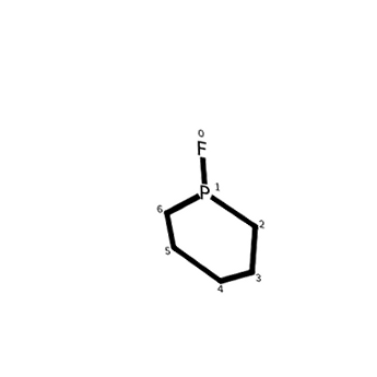 FP1CCCCC1